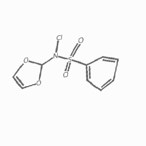 O=S(=O)(c1ccccc1)N(Cl)C1OC=CO1